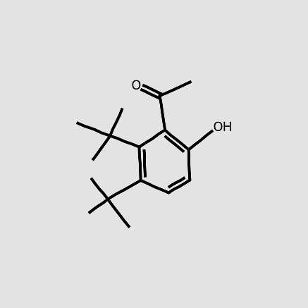 CC(=O)c1c(O)ccc(C(C)(C)C)c1C(C)(C)C